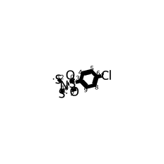 O=S(=O)(c1ccc(Cl)cc1)N([S])[S]